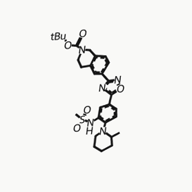 CC1CCCCN1c1ccc(-c2nc(-c3ccc4c(c3)CCN(C(=O)OC(C)(C)C)C4)no2)cc1NS(C)(=O)=O